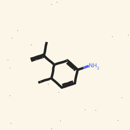 C=C(C)C1C=C(N)C=CC1C